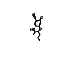 CCCC(Oc1ccc(C#N)c(Cl)c1)C(C)O